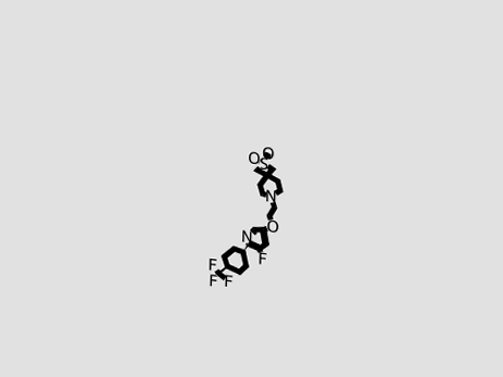 O=S1(=O)CC2(CCN(CCOc3cnc([C@H]4CC[C@H](C(F)(F)F)CC4)c(F)c3)CC2)C1